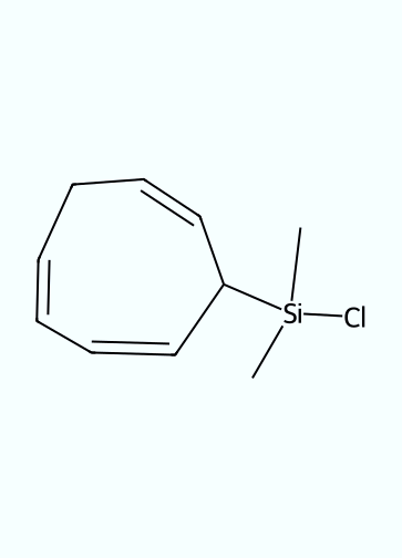 C[Si](C)(Cl)C1C=CC=CCC=C1